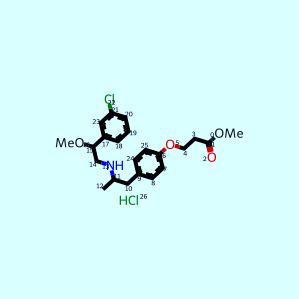 COC(=O)CCOc1ccc(CC(C)NCC(OC)c2cccc(Cl)c2)cc1.Cl